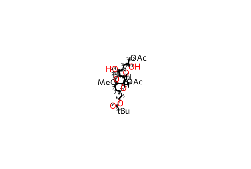 COC12CC[C@H](CCOC(=O)C(C)(C)C)O[C@@H]1[C@@H](OC(C)=O)[C@@H]1O[C@H](C[C@@H](O)COC(C)=O)[C@H](O)[C@@H]1O2